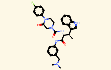 C[C@H](c1c[nH]c2ccccc12)[C@@H](NC(=O)N1CCN(c2ccc(F)cc2)C(=O)C1)C(=O)Nc1cccc(CN(C)C)c1